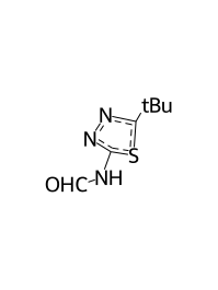 CC(C)(C)c1nnc(NC=O)s1